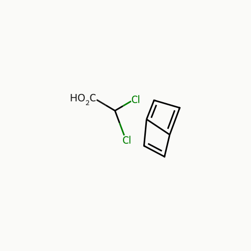 O=C(O)C(Cl)Cl.c1cc2ccc1-2